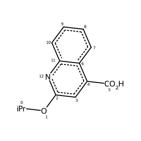 CC(C)Oc1cc(C(=O)O)c2ccccc2n1